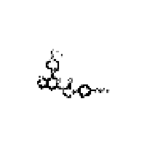 COc1ccc(N2CCN(c3cc4ccoc4c(N4CCN(C)CC4)n3)C2=O)cc1